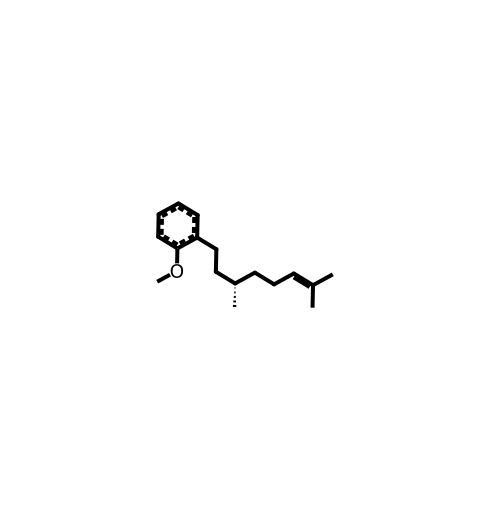 COc1ccccc1CC[C@@H](C)CCC=C(C)C